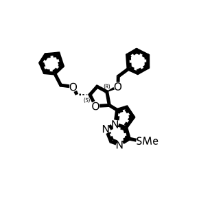 CSc1ncnn2c(C3O[C@H](COCc4ccccc4)C[C@H]3OCc3ccccc3)ccc12